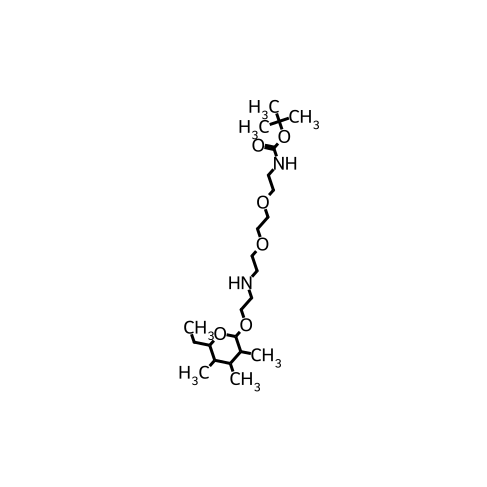 CCC1OC(OCCNCCOCCOCCNC(=O)OC(C)(C)C)C(C)C(C)C1C